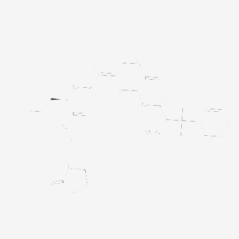 CN[C@H](C(=O)NC(C(=O)N(C)[C@H](/C=C(\C)C(=O)N[C@H](CCC(=O)O)C(=O)NCCN1C(=O)C=CC1=O)C(C)C)C(C)(C)C)C(C)(C)c1ccccc1